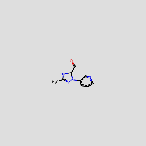 CC1=NN(c2cccnc2)C(C=O)N1